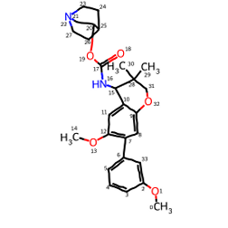 COc1cccc(-c2cc3c(cc2OC)C(NC(=O)OC2CN4CCC2CC4)C(C)(C)CO3)c1